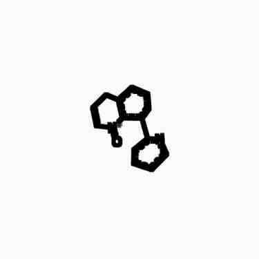 O=[N+]1C=CCc2cccc(-c3ccccn3)c21